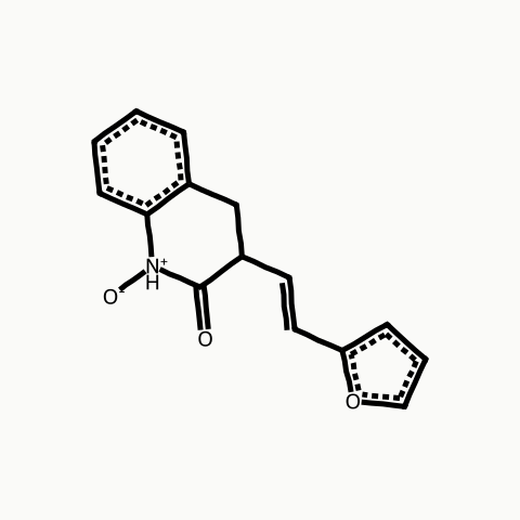 O=C1C(C=Cc2ccco2)Cc2ccccc2[NH+]1[O-]